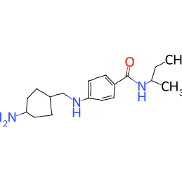 CCC(C)NC(=O)c1ccc(NCC2CCC(N)CC2)cc1